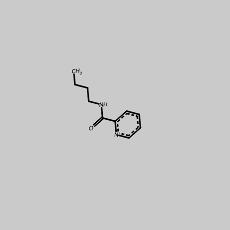 CCCCNC(=O)c1ccccn1